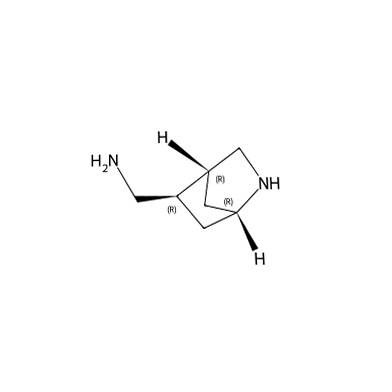 NC[C@@H]1C[C@@H]2C[C@H]1CN2